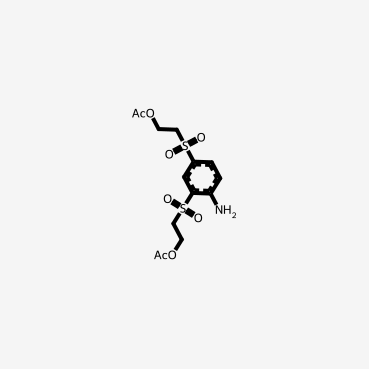 CC(=O)OCCS(=O)(=O)c1ccc(N)c(S(=O)(=O)CCOC(C)=O)c1